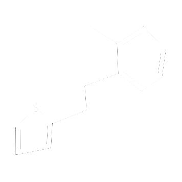 Cc1ccccc1[CH]Cc1cccs1